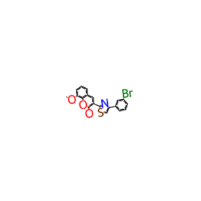 COc1cccc2cc(-c3nc(-c4cccc(Br)c4)cs3)c(=O)oc12